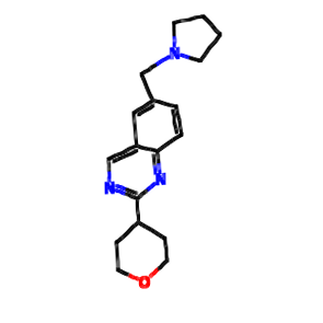 c1cc2nc(C3CCOCC3)ncc2cc1CN1CCCC1